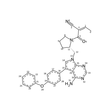 C/C=C(/C#N)C(=O)N1CCC[C@H]1Cn1cc(-c2ccc(Oc3ccccc3)cc2)c2c(N)ncnc21